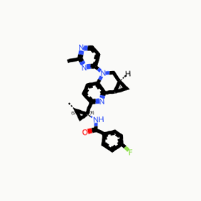 Cc1nccc(N2C[C@H]3CC3c3nc([C@@]4(NC(=O)c5ccc(F)cc5)C[C@@H]4C)ccc32)n1